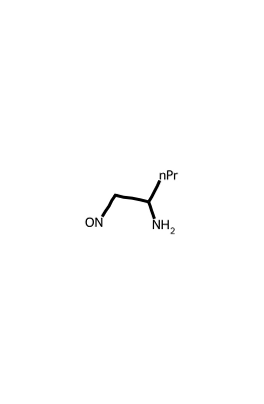 CCCC(N)CN=O